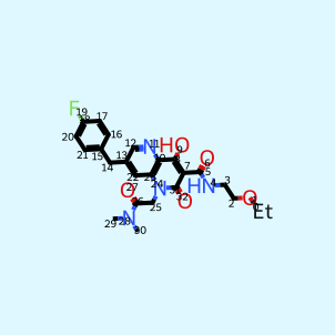 CCOCCNC(=O)c1c(O)c2ncc(Cc3ccc(F)cc3)cc2n(CC(=O)N(C)C)c1=O